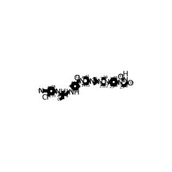 CCC(C)(CCNc1ccc(C(=O)N2CCC(N3CC(N4CCN(c5ccc(N6CCC(=O)NC6=O)cc5)CC4)C3)CC2)cc1)CNc1ccc(C#N)c(Cl)c1